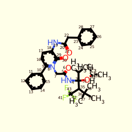 CC(C)C(NC(=O)Cn1c(-c2ccccc2)ccc(NC(=O)Cc2ccccc2)c1=O)(O[SiH](C)C)C(C(C)(C)C)C(F)(F)F